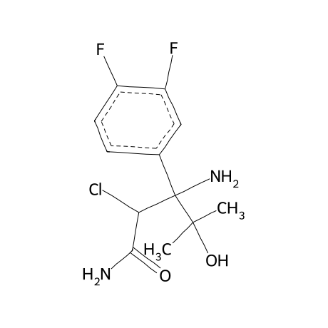 CC(C)(O)C(N)(c1ccc(F)c(F)c1)C(Cl)C(N)=O